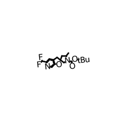 CC1CC2(Cc3cc(C(F)F)ncc3O2)CN1C(=O)OC(C)(C)C